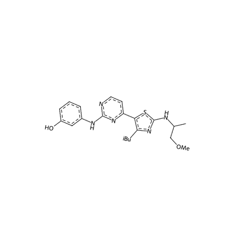 CCC(C)c1nc(NC(C)COC)sc1-c1ccnc(Nc2cccc(O)c2)n1